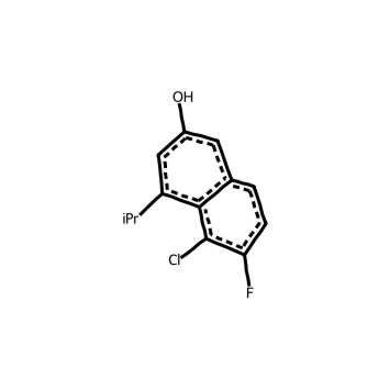 CC(C)c1cc(O)cc2ccc(F)c(Cl)c12